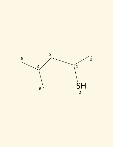 [CH2]C(S)CC(C)C